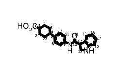 O=C(O)C1CCC(c2ccc(NC(=O)C3CNc4ccccc43)cc2)CC1